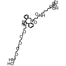 CCOP(O)(=S)OCCCCCCNC(=O)CCC(=O)N1Cc2ccccc2-c2nnn(CCOCCOCCOCCOCCOCCNCO)c2-c2ccccc21